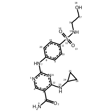 NC(=O)c1cnc(Nc2ccc(S(=O)(=O)NCCO)cc2)nc1NC1CC1